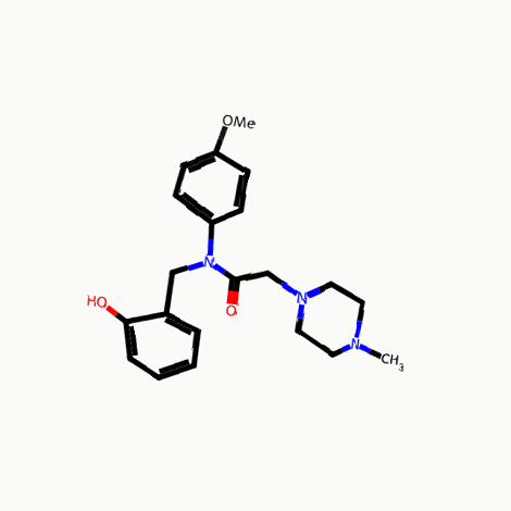 COc1ccc(N(Cc2ccccc2O)C(=O)CN2CCN(C)CC2)cc1